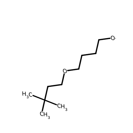 CC(C)(C)CCOCCCC[O]